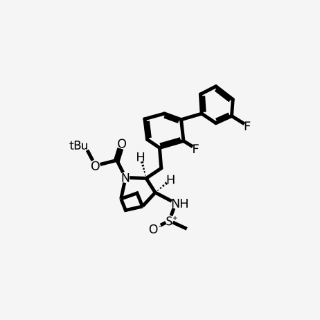 C[S+]([O-])N[C@H]1C2CC(C2)N(C(=O)OC(C)(C)C)[C@H]1Cc1cccc(-c2cccc(F)c2)c1F